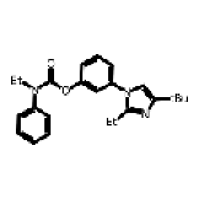 CCc1nc(C(C)(C)C)cn1-c1cccc(OC(=O)N(CC)c2ccccc2)c1